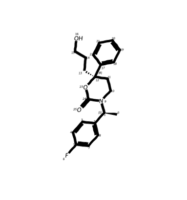 C[C@@H](c1ccc(F)cc1)N1CC[C@](CCCO)(c2ccccc2)OC1=O